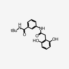 CC(C)(C)NC(=O)c1cccc(NC(=O)Cc2c(O)cccc2O)c1